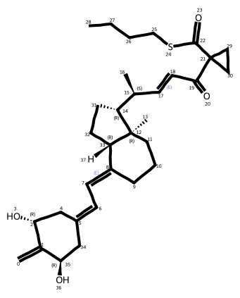 C=C1[C@H](O)CC(=C/C=C2\CCC[C@]3(C)[C@@H]([C@@H](C)/C=C/C(=O)C4(C(=O)SCCCC)CC4)CC[C@@H]23)C[C@H]1O